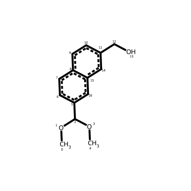 COC(OC)c1ccc2ccc(CO)cc2c1